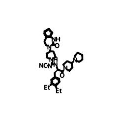 CCc1ccc(C[C@@H](N/C(=N/C#N)N2CCC(N3CCc4ccccc4NC3=O)CC2)C(=O)N2CCC(N3CCCCC3)CC2)cc1CC